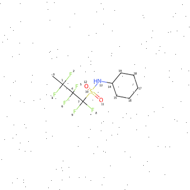 CC(F)(F)C(F)(F)C(F)(F)S(=O)(=O)NC1CCCCC1